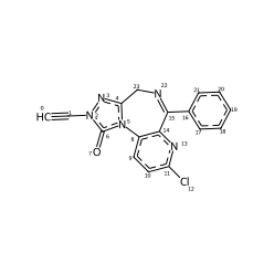 C#Cn1nc2n(c1=O)-c1ccc(Cl)nc1C(c1ccccc1)=NC2